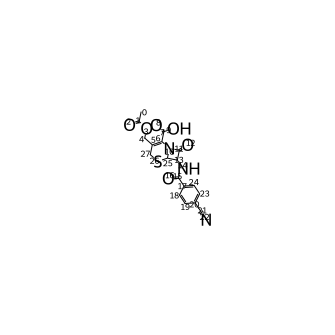 CC(=O)OCC1=C(C(=O)O)N2C(=O)C(NC(=O)c3ccc(C#N)cc3)C2SC1